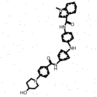 Cn1cc(C(=O)Nc2ccc(Nc3ccc(NC(=O)c4ccc(N5CCC(O)CC5)cc4)cc3)cc2)c2ccccc21